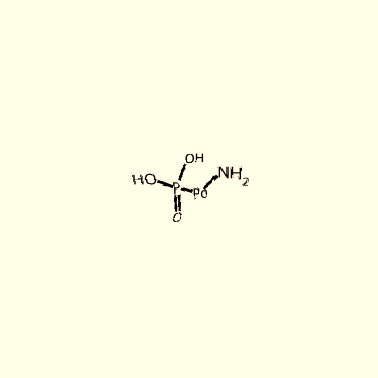 [NH2][Po][P](=O)(O)O